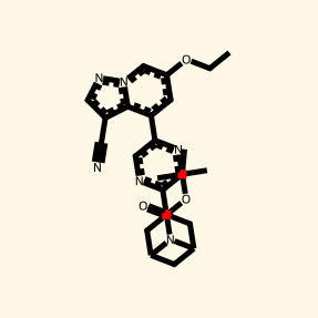 CCOc1cc(-c2cnc(N3CC4CC(C3)N4C(=O)OC(C)(C)C)cn2)c2c(C#N)cnn2c1